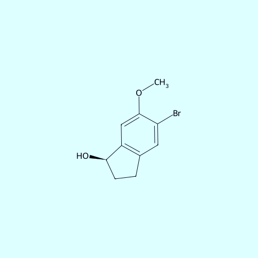 COc1cc2c(cc1Br)CC[C@H]2O